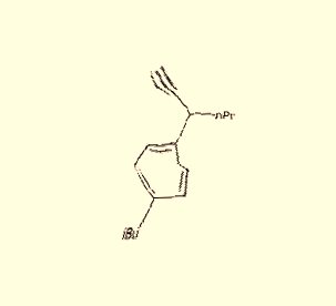 [C]#CC(CCC)c1ccc(C(C)CC)cc1